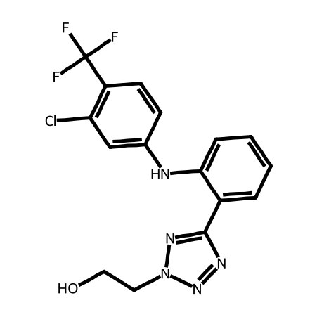 OCCn1nnc(-c2ccccc2Nc2ccc(C(F)(F)F)c(Cl)c2)n1